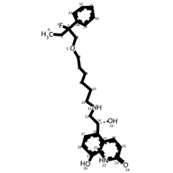 CCC(F)(COCCCCCCNC[C@H](O)c1ccc(O)c2[nH]c(=O)ccc12)c1ccccc1